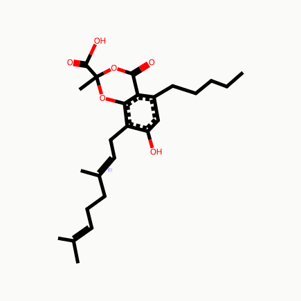 CCCCCc1cc(O)c(C/C=C(\C)CCC=C(C)C)c2c1C(=O)OC(C)(C(=O)O)O2